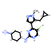 Cn1ncc(-c2nc(N[C@H]3CC[C@H](N)CC3)ncc2F)c1CC1CC1